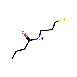 CCCC(=O)NCCCS